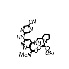 CNC(=O)c1nnc(Nc2cnc(C#N)cn2)cc1NCC1CCCN1C(=O)OC(C)(C)C